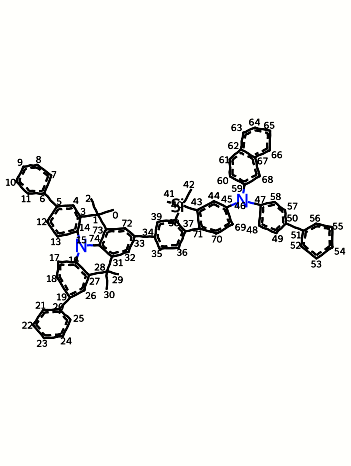 CC1(C)c2cc(-c3ccccc3)ccc2N2c3ccc(-c4ccccc4)cc3C(C)(C)c3cc(-c4ccc5c(c4)[Si](C)(C)c4cc(N(c6ccc(-c7ccccc7)cc6)c6ccc7ccccc7c6)ccc4-5)cc1c32